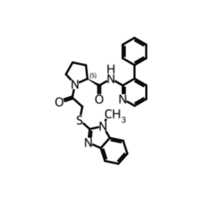 Cn1c(SCC(=O)N2CCC[C@H]2C(=O)Nc2ncccc2-c2ccccc2)nc2ccccc21